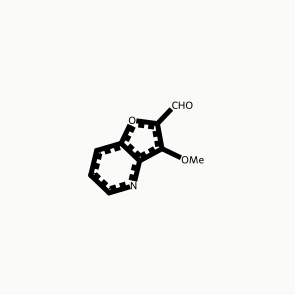 COc1c(C=O)oc2cccnc12